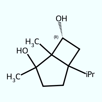 CC(C)C12CCC(C)(O)C1(C)[C@H](O)C2